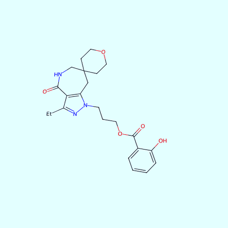 CCc1nn(CCCOC(=O)c2ccccc2O)c2c1C(=O)NCC1(CCOCC1)C2